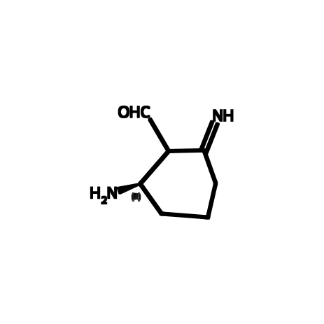 N=C1CCC[C@@H](N)C1C=O